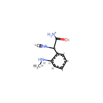 [C-]#[N+]C(C(N)=O)c1ccccc1NC